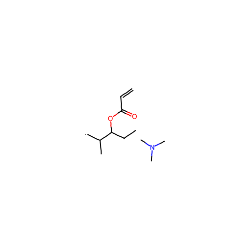 CN(C)C.[CH2]C(C)C(CC)OC(=O)C=C